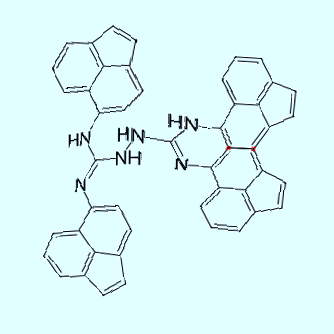 C1=Cc2ccc(N=C(NNC(=Nc3ccc4c5c(cccc35)C=C4)Nc3ccc4c5c(cccc35)C=C4)Nc3ccc4c5c(cccc35)C=C4)c3cccc1c23